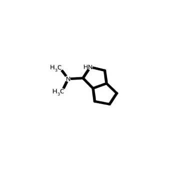 CN(C)[C]1NCC2CCCC12